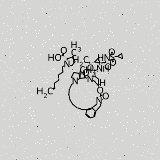 C=CCCCCCN1CCC(C)[C@H]1C(=O)O.C=C[C@@H]1C[C@]1(NC(=O)[C@@H]1C[C@@H]2CN1C(=O)[C@H]1[C@@H](C)CCN1CCCCCCCc1cccc3c1CN(C3)C(=O)O2)C(=O)NS(=O)(=O)C1CC1